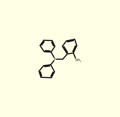 [SiH3]c1ccccc1CP(c1ccccc1)c1ccccc1